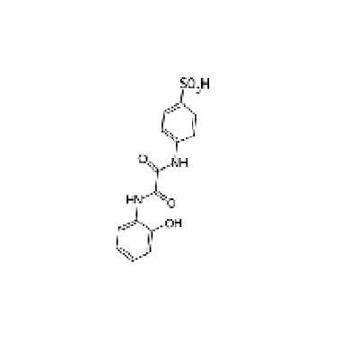 O=C(Nc1ccc(S(=O)(=O)O)cc1)C(=O)Nc1ccccc1O